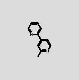 Cc1cc(-c2cc[c]cn2)ccn1